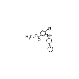 CCOC(=O)c1ccc(C#N)c(N[C@H]2CC[C@H](N3CCCCC3)CC2)c1